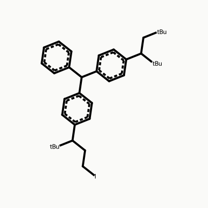 CC(C)(C)CC(c1ccc(C(c2ccccc2)c2ccc(C(CCI)C(C)(C)C)cc2)cc1)C(C)(C)C